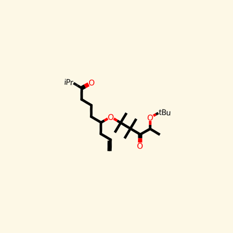 C=CCC(CCCC(=O)C(C)C)OC(C)(C)C(C)(C)C(=O)C(C)OC(C)(C)C